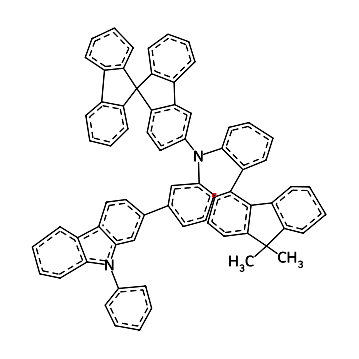 CC1(C)c2ccccc2-c2c(-c3ccccc3N(c3cccc(-c4ccc5c6ccccc6n(-c6ccccc6)c5c4)c3)c3ccc4c(c3)-c3ccccc3C43c4ccccc4-c4ccccc43)cccc21